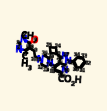 Cc1ncn(C)c(=O)c1CCN1CCN(c2cc(C(=O)O)nc3c2c(C2CCC2)nn3-c2ccccc2)CC1